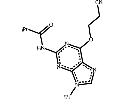 CC(C)C(=O)Nc1nc(OCCC#N)c2ncn(C(C)C)c2n1